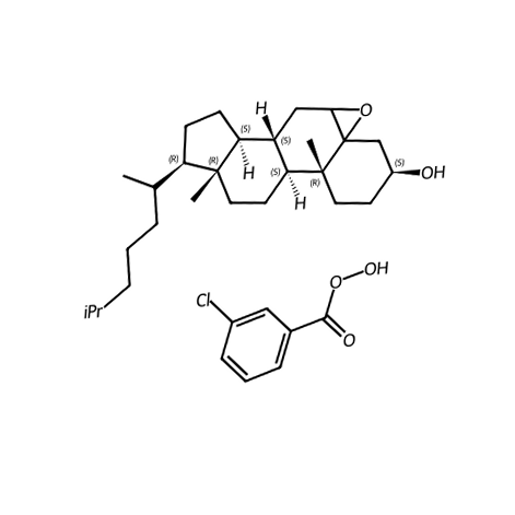 CC(C)CCCC(C)[C@H]1CC[C@H]2[C@@H]3CC4OC45C[C@@H](O)CC[C@]5(C)[C@H]3CC[C@]12C.O=C(OO)c1cccc(Cl)c1